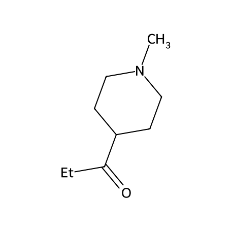 [CH2]CC(=O)C1CCN(C)CC1